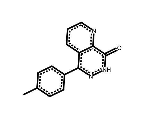 Cc1ccc(-c2n[nH]c(=O)c3ncccc23)cc1